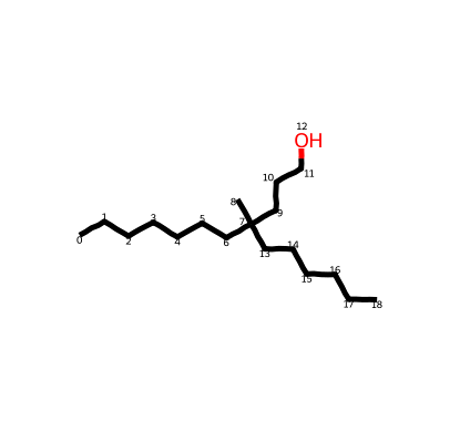 CCCCCCCC(C)(CCCO)CCCCCC